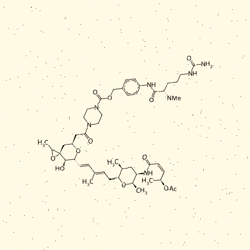 CN[C@@H](CCCNC(N)=O)C(=O)Nc1ccc(COC(=O)N2CCN(C(=O)C[C@@H]3C[C@]4(OC4C)[C@H](O)[C@@H](/C=C/C(C)=C/C[C@@H]4O[C@H](C)[C@H](NC(=O)/C=C\[C@H](C)OC(C)=O)C[C@@H]4C)O3)CC2)cc1